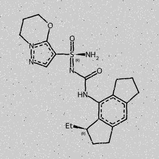 CC[C@@H]1CCc2cc3c(c(NC(=O)N=[S@@](N)(=O)c4cnn5c4OCCC5)c21)CCC3